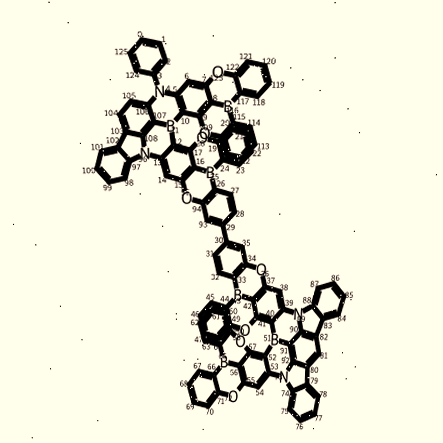 c1ccc(N2c3cc4c5c(c3B3c6c(cc7c8c6Oc6ccccc6B8c6ccc(-c8ccc9c(c8)Oc8cc%10c(c%11c8B9c8ccccc8O%11)B8c9c(cc%11c%12c9Oc9ccccc9B%12c9ccccc9O%11)-n9c%11ccccc%11c%11cc%12c%13ccccc%13n-%10c%12c8c%119)cc6O7)-n6c7ccccc7c7ccc2c3c76)Oc2ccccc2B5c2ccccc2O4)cc1